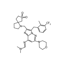 Cc1c(Cc2c(CN3CCCC34CCS(=O)(=O)C4)nc3c(/N=C/N(C)C)cc(N4CCOCC4)nn23)cccc1C(F)(F)F